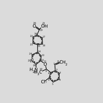 C=Cc1cccc(Cl)c1C(C)Oc1cc(-c2ccc(C(=O)O)cc2)cnc1N